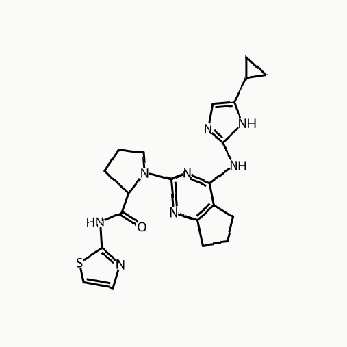 O=C(Nc1nccs1)C1CCCN1c1nc2c(c(Nc3ncc(C4CC4)[nH]3)n1)CCC2